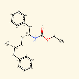 CCOC(=O)N[C@H](CC[C@@H](C)Cc1ccccc1)Cc1ccccc1